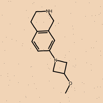 COC1CN(c2ccc3c(c2)CNCC3)C1